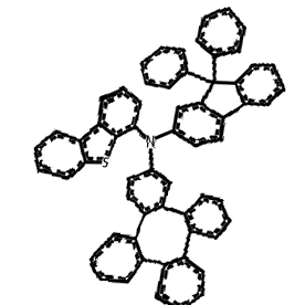 c1ccc(C2(c3ccccc3)c3ccccc3-c3ccc(N(c4ccc5c(c4)-c4ccccc4-c4ccccc4-c4ccccc4-5)c4cccc5c4sc4ccccc45)cc32)cc1